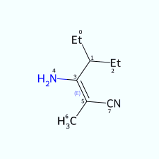 CCC(CC)/C(N)=C(/C)C#N